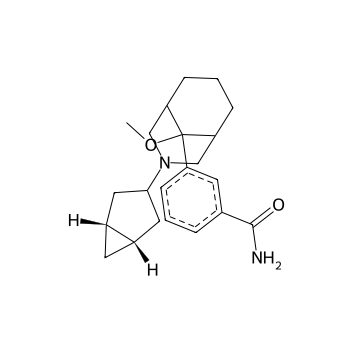 COC1(c2cccc(C(N)=O)c2)C2CCCC1CN(C1C[C@@H]3C[C@@H]3C1)C2